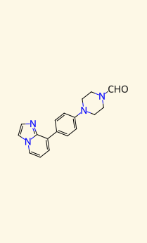 O=CN1CCN(c2ccc(-c3cccn4ccnc34)cc2)CC1